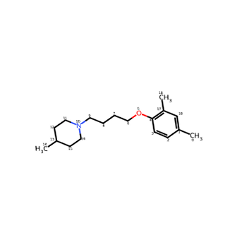 Cc1ccc(OCCCCN2CCC(C)CC2)c(C)c1